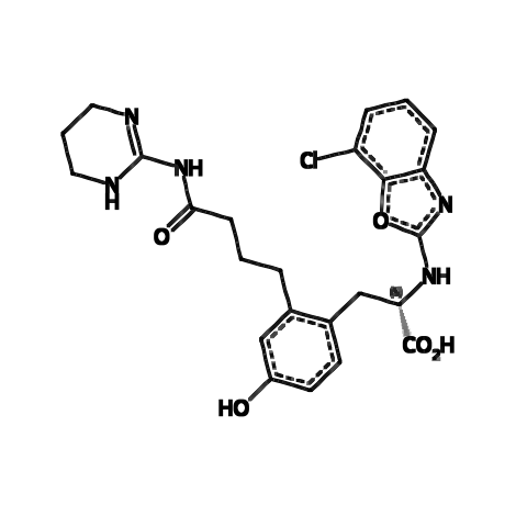 O=C(CCCc1cc(O)ccc1C[C@H](Nc1nc2cccc(Cl)c2o1)C(=O)O)NC1=NCCCN1